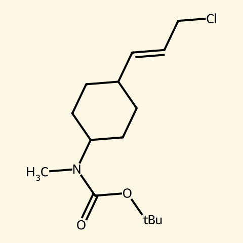 CN(C(=O)OC(C)(C)C)C1CCC(C=CCCl)CC1